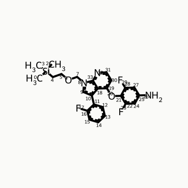 C[Si](C)(C)CCOCn1cc(-c2ccccc2F)c2c(Oc3c(F)cc(N)cc3F)ccnc21